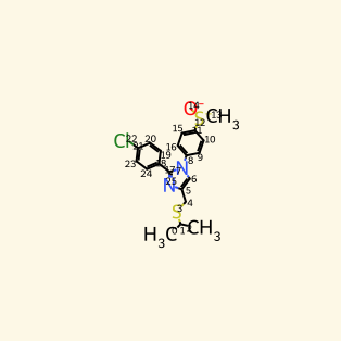 CC(C)SCc1cn(-c2ccc([S+](C)[O-])cc2)c(-c2ccc(Cl)cc2)n1